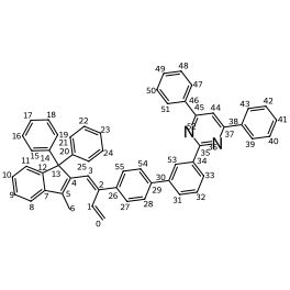 C=C/C(=C\C1=C(C)c2ccccc2C1(c1ccccc1)c1ccccc1)c1ccc(-c2cccc(-c3nc(-c4ccccc4)cc(-c4ccccc4)n3)c2)cc1